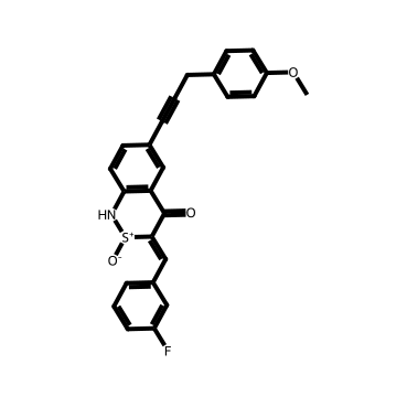 COc1ccc(CC#Cc2ccc3c(c2)C(=O)/C(=C/c2cccc(F)c2)[S+]([O-])N3)cc1